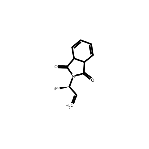 C=C[C@@H](C(C)C)N1C(=O)C2C=CC=CC2C1=O